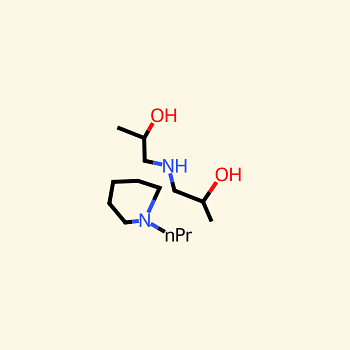 CC(O)CNCC(C)O.CCCN1CCCCC1